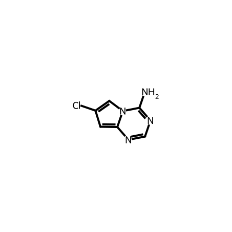 Nc1ncnc2cc(Cl)cn12